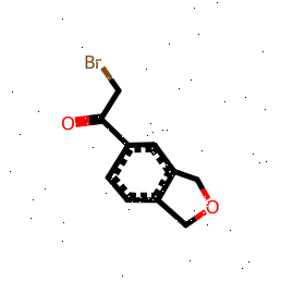 O=C(CBr)c1ccc2c(c1)COC2